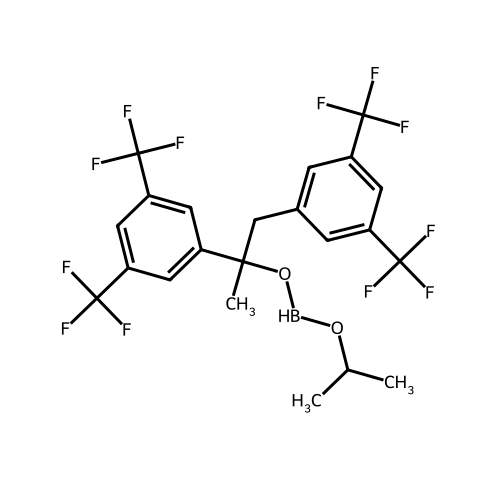 CC(C)OBOC(C)(Cc1cc(C(F)(F)F)cc(C(F)(F)F)c1)c1cc(C(F)(F)F)cc(C(F)(F)F)c1